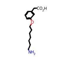 NCCCCCCCOc1cccc(CC(=O)O)c1